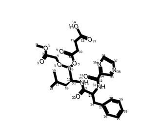 COC(=O)COB(OC(=O)CCC(=O)O)[C@H](CC(C)C)NC(=O)C(Cc1ccccc1)NC(=O)c1cnccn1